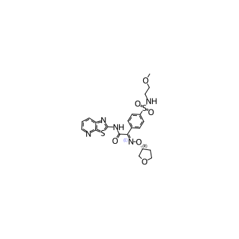 COCCNS(=O)(=O)c1ccc(/C(=N\O[C@@H]2CCOC2)C(=O)Nc2nc3cccnc3s2)cc1